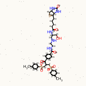 Cc1ccc(S(=O)(=O)CC(CS(=O)(=O)c2ccc(C)cc2)C(=O)c2ccc(C(=O)NCCNCC(CO)NC(=O)CCCCC3SCC4NC(=O)NC43)cc2)cc1